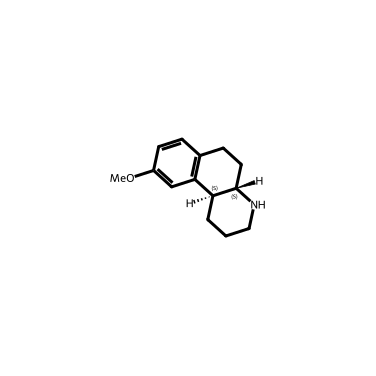 COc1ccc2c(c1)[C@@H]1CCCN[C@H]1CC2